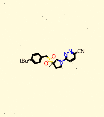 CC(C)(C)c1ccc(CS(=O)(=O)[C@]2(C)CCN(c3ccc(C#N)nn3)C2)cc1